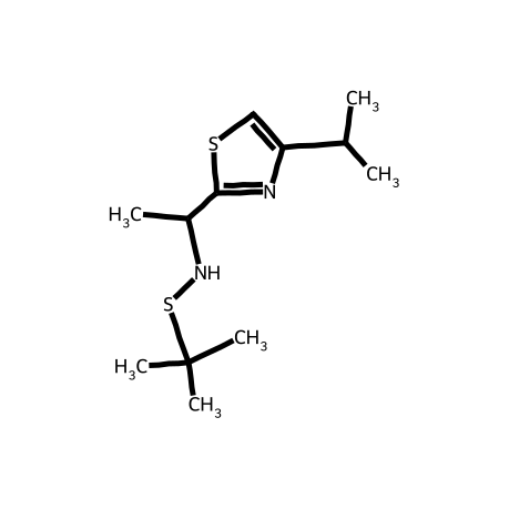 CC(C)c1csc(C(C)NSC(C)(C)C)n1